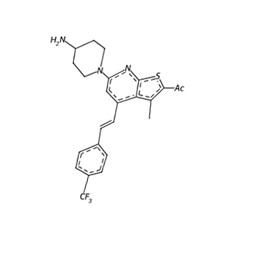 CC(=O)c1sc2nc(N3CCC(N)CC3)cc(/C=C/c3ccc(C(F)(F)F)cc3)c2c1C